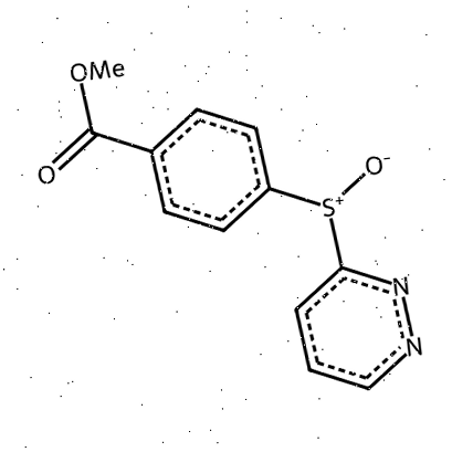 COC(=O)c1ccc([S+]([O-])c2cccnn2)cc1